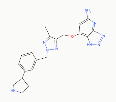 Cc1nn(Cc2cccc(C3CCNC3)c2)nc1COc1cc(N)nc2nn[nH]c12